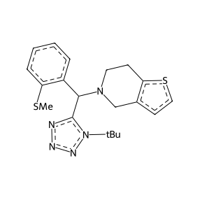 CSc1ccccc1C(c1nnnn1C(C)(C)C)N1CCc2sccc2C1